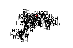 CC(=O)NC1[C@H](OC2[C@@H](O[C@@H]3C(O)[C@H](C)OC(CO[C@H]4OC(CO)[C@@H](O)[C@H](O)C4O[C@@H]4OC(CO)[C@@H](O[C@@H]5OC(CO[C@]6(C(=O)O)C[C@@H](O)[C@@H](C)C([C@H](O)[C@H](O)CO)O6)[C@H](O)[C@H](O)C5O)[C@H](O)C4NC(C)=O)[C@H]3O)OC(CO)[C@@H](O)[C@@H]2O)OC(CO)[C@@H](O[C@@H]2OC(CO[C@]3(C(=O)O)C[C@@H](O)[C@@H](C)C([C@H](O)[C@H](O)CO)O3)[C@H](O)[C@H](O)C2O)[C@@H]1O